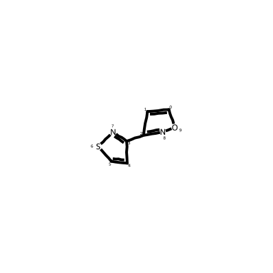 c1cc(-c2ccsn2)no1